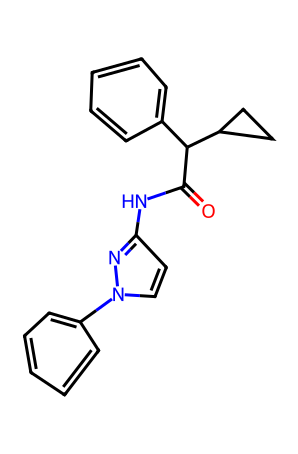 O=C(Nc1ccn(-c2ccccc2)n1)C(c1ccccc1)C1CC1